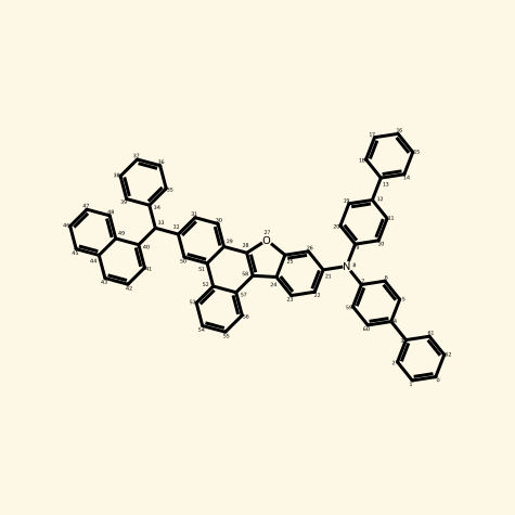 c1ccc(-c2ccc(N(c3ccc(-c4ccccc4)cc3)c3ccc4c(c3)oc3c5ccc(C(c6ccccc6)c6cccc7ccccc67)cc5c5ccccc5c43)cc2)cc1